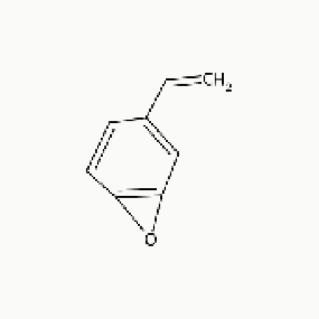 C=Cc1ccc2c(c1)O2